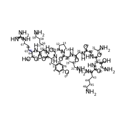 COc1ccc(CC(NC(=O)[C@@H]2CCCN2C(=O)[C@@H](CCCN)NC(=O)CNC(=O)[C@H](CCN)NC(=O)[C@@H](NC(=O)[C@@H](N)CCCCN)[C@@H](O)CN)C(=O)N[C@@H](CCCCN)C(=O)N/C(=C\CCNC(=N)N)C(=O)O)cc1